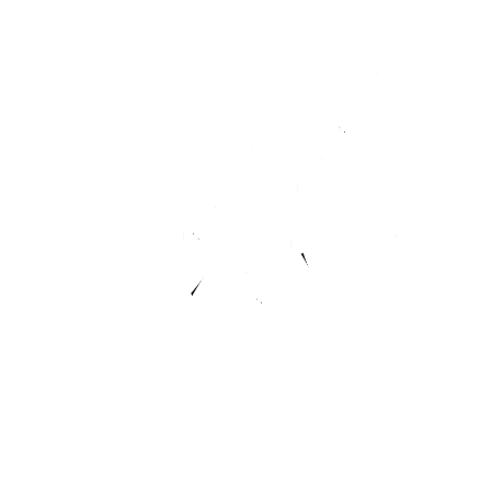 CC(C)(C(=O)N1CCOCC1)S(=O)(=O)C[C@@H](Cc1ccccc1)C(=O)N[C@H](Cc1ccco1)C(=O)N[C@@H](CC1CCCCC1)[C@@H](O)[C@@H](O)C1CC1